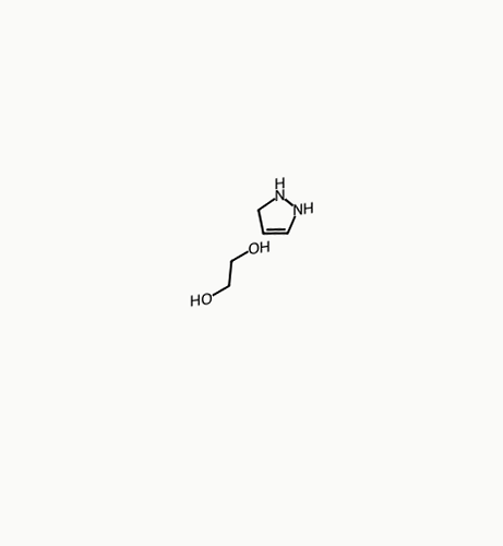 C1=CNNC1.OCCO